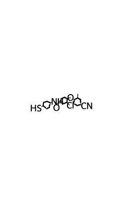 Cc1cc(C#N)ccc1Oc1ccc(C(=O)Nc2ccc(S)cc2)cc1Cl